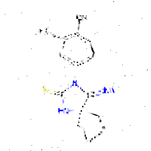 N#Cc1ccc(N2C(=N)C3(CCCC3)NC2=S)cc1C(F)(F)F